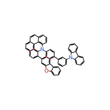 c1cc(-c2ccc(N(c3ccccc3-c3ccc4c(c3)oc3ccccc34)c3cccc4ccc5ccccc5c34)cc2)cc(-n2c3ccccc3c3ccccc32)c1